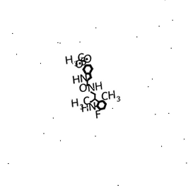 Cc1ccc(F)c2c1C(CCNC(=O)c1cc3ccc(S(C)(=O)=O)cc3[nH]1)C(C)N2